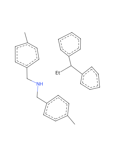 CCC(c1ccccc1)c1ccccc1.Cc1ccc(CNCc2ccc(C)cc2)cc1